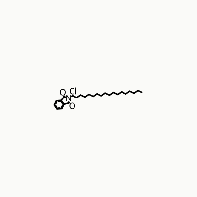 CCCCCCCCCCCCCCCCC[C@H](Cl)N1C(=O)c2ccccc2C1=O